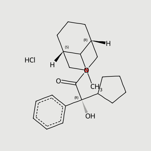 CN1C[C@H]2CCC[C@@H](C1)C2OC(=O)[C@](O)(c1ccccc1)C1CCCC1.Cl